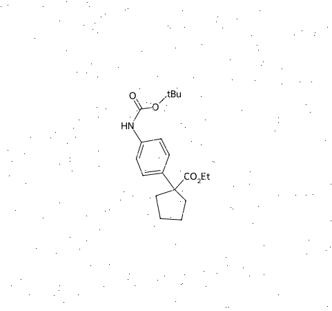 CCOC(=O)C1(c2ccc(NC(=O)OC(C)(C)C)cc2)CCCC1